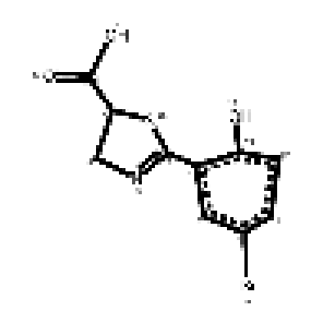 O=C(O)C1CN=C(c2cc(Br)ccc2O)S1